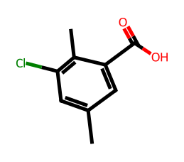 Cc1cc(Cl)c(C)c(C(=O)O)c1